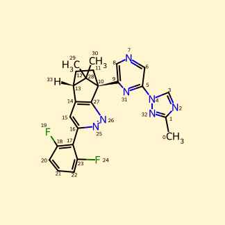 Cc1ncn(-c2cncc([C@@]34CC[C@@H](c5cc(-c6c(F)cccc6F)nnc53)C4(C)C)n2)n1